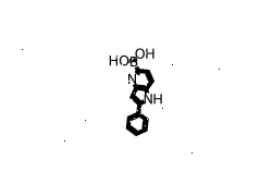 OB(O)c1ccc2[nH]c(-c3ccccc3)cc2n1